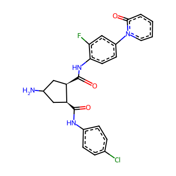 NC1C[C@H](C(=O)Nc2ccc(Cl)cc2)[C@H](C(=O)Nc2ccc(-n3ccccc3=O)cc2F)C1